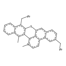 Cc1c2c(c(CC(C)C)c3ccccc13)Sc1cc3ccc(CC(C)C)cc3c3cc[n+](C)c-2c13